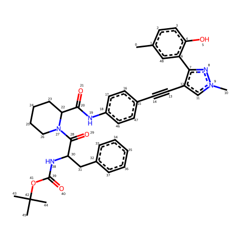 Cc1ccc(O)c(-c2nn(C)cc2C#Cc2ccc(NC(=O)C3CCCCN3C(=O)C(Cc3ccccc3)NC(=O)OC(C)(C)C)cc2)c1